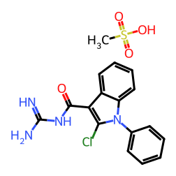 CS(=O)(=O)O.N=C(N)NC(=O)c1c(Cl)n(-c2ccccc2)c2ccccc12